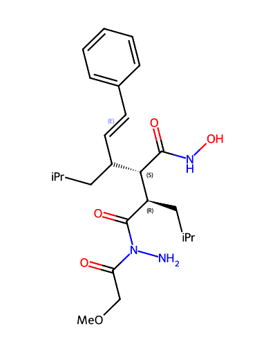 COCC(=O)N(N)C(=O)[C@H](CC(C)C)[C@@H](C(=O)NO)C(/C=C/c1ccccc1)CC(C)C